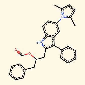 Cc1ccc(C)n1-c1ccc2[nH]c(CC(Cc3ccccc3)OC=O)c(-c3ccccc3)c2c1